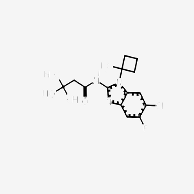 CC(C)(O)CC(=O)Nc1nc2cc(F)c(Cl)cc2n1C1(C)CCC1